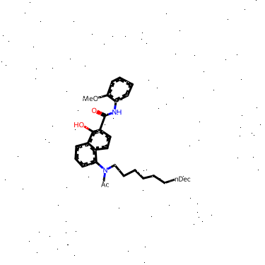 CCCCCCCCCCCCCCCCN(C(C)=O)c1cccc2c(O)c(C(=O)Nc3ccccc3OC)ccc12